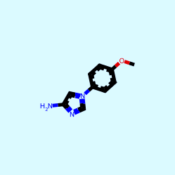 COc1[c]cc(-n2cnc(N)c2)cc1